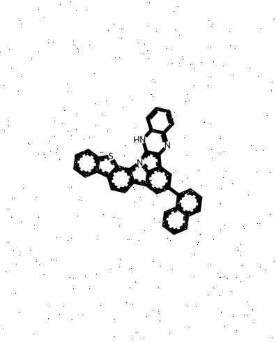 C1=CC2=Nc3c(n4c5c3cc(-c3cccc6ccccc36)cc5c3ccc5c6ccccc6sc5c34)NC2C=C1